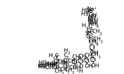 CCC(C)OP(=S)([S-])OC(C)CC.CCC(C)OP(=S)([S-])OC(C)CC.CCC(C)OP(=S)([S-])OC(C)CC.Cc1ccc(O)cc1.Cc1ccc(O)cc1.Cc1ccc(O)cc1.Cc1ccc(O)cc1.Cc1ccc(O)cc1.N.N.N.N.N.N.N.OP(O)(=S)S.OP(O)(=S)S.[K+].[Na+].[Na+]